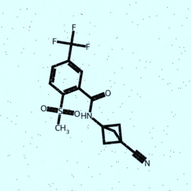 CS(=O)(=O)c1ccc(C(F)(F)F)cc1C(=O)NC12CC(C#N)(C1)C2